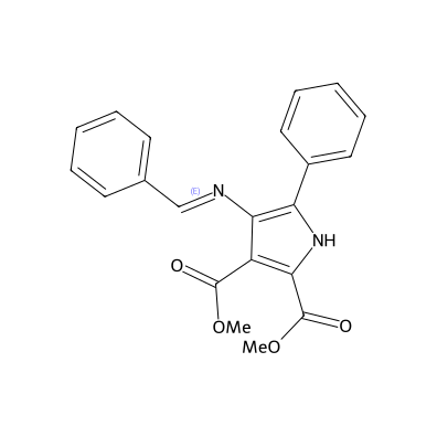 COC(=O)c1[nH]c(-c2ccccc2)c(/N=C/c2ccccc2)c1C(=O)OC